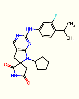 CC(C)c1ccc(Nc2ncc3c(n2)N(C2CCCC2)C2(CC(=O)NC2=O)C3)cc1F